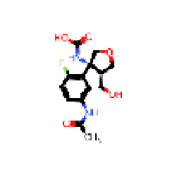 CC(=O)Nc1ccc(F)c([C@]2(NC(=O)O)COC[C@H]2CO)c1